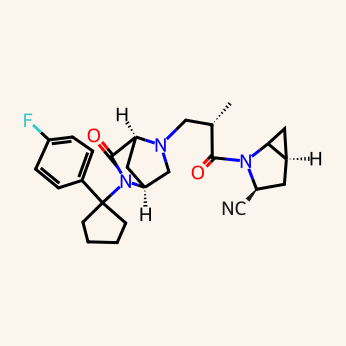 C[C@@H](CN1C[C@@H]2C[C@H]1C(=O)N2C1(c2ccc(F)cc2)CCCC1)C(=O)N1C2C[C@H]2C[C@H]1C#N